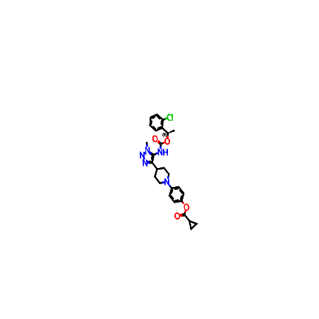 C[C@@H](OC(=O)Nc1c(C2CCN(c3ccc(OC(=O)C4CC4)cc3)CC2)nnn1C)c1ccccc1Cl